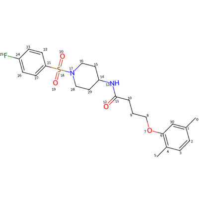 Cc1ccc(C)c(OCCCC(=O)NC2CCN(S(=O)(=O)c3ccc(F)cc3)CC2)c1